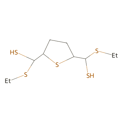 CCSC(S)C1CCC(C(S)SCC)S1